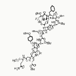 CC(C)C[C@H](NC(=O)[C@H](Cc1ccc(OC(C)(C)C)cc1)NC(=O)[C@H](COC(C)(C)C)NC(=O)[C@H](COC(C)(C)C)NC(=O)[C@@H](NC(=O)[C@H](CC(=O)OC(C)(C)C)NC(=O)[C@H](COC(C)(C)C)NC(=O)[C@@H](NC(=O)[C@H](Cc1ccccc1)NC(=O)[C@@H](N)[C@@H](C)OC(C)(C)C)[C@@H](C)OC(C)(C)C)C(C)C)C(=O)N[C@@H](CCC(=O)OC(C)(C)C)C(=O)NCC(=O)N[C@@H](CCC(N)=O)C(=O)O